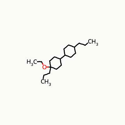 CCCC1CCC(C2CCC(CCC)(OCC)CC2)CC1